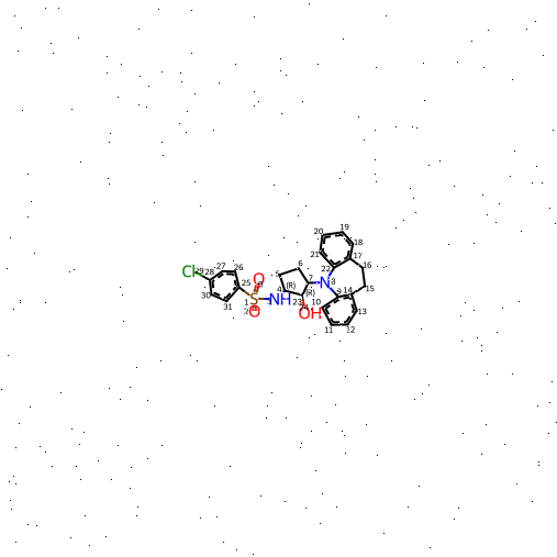 O=S(=O)(N[C@@H]1CCC(N2c3ccccc3CCc3ccccc32)[C@H]1O)c1ccc(Cl)cc1